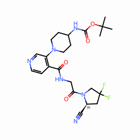 CC(C)(C)OC(=O)NC1CCN(c2cnccc2C(=O)NCC(=O)N2CC(F)(F)C[C@H]2C#N)CC1